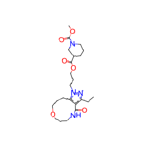 CCc1nn(CCCOC(=O)C2CCCN(C(=O)OC)C2)c2c1C(=O)NCCCOCCC2